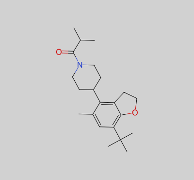 Cc1cc(C(C)(C)C)c2c(c1C1CCN(C(=O)C(C)C)CC1)CCO2